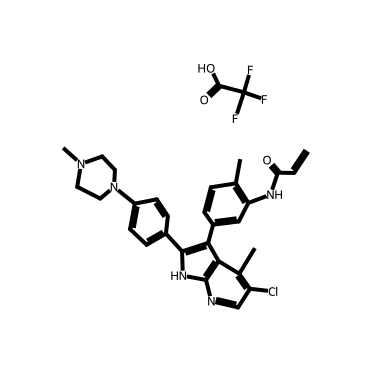 C=CC(=O)Nc1cc(-c2c(-c3ccc(N4CCN(C)CC4)cc3)[nH]c3ncc(Cl)c(C)c23)ccc1C.O=C(O)C(F)(F)F